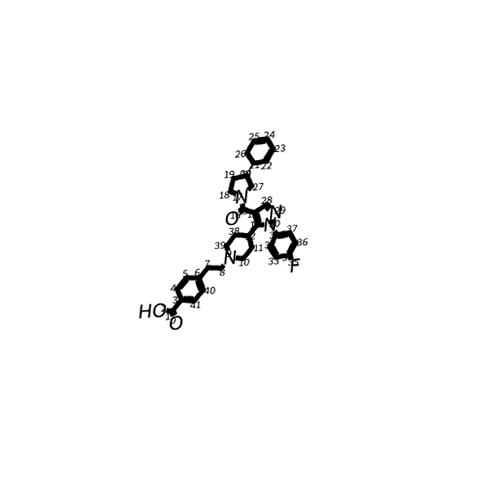 O=C(O)c1ccc(CCN2CCC(c3c(C(=O)N4CC[C@H](C5C=CC=CC5)C4)cnn3-c3ccc(F)cc3)CC2)cc1